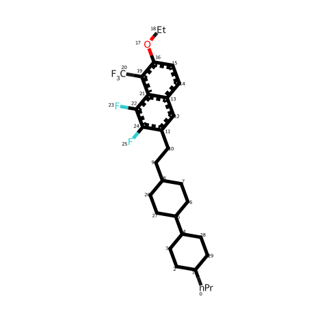 CCCC1CCC(C2CCC(CCc3cc4ccc(OCC)c(C(F)(F)F)c4c(F)c3F)CC2)CC1